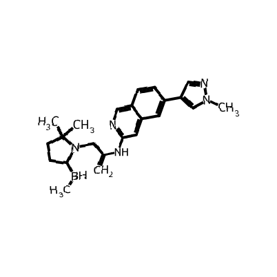 C=C(CN1C(BC)CCC1(C)C)Nc1cc2cc(-c3cnn(C)c3)ccc2cn1